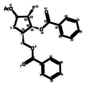 CC(=O)OC1S[C@@H](COC(=O)c2ccccc2)[C@@H](OC(=O)c2ccccc2)[C@@H]1F